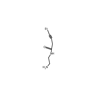 [CH2]CC#CCC(=O)NCCN